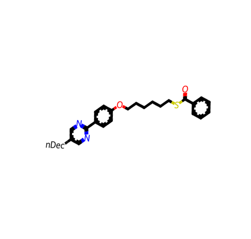 CCCCCCCCCCc1cnc(-c2ccc(OCCCCCCSC(=O)c3ccccc3)cc2)nc1